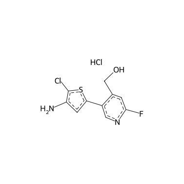 Cl.Nc1cc(-c2cnc(F)cc2CO)sc1Cl